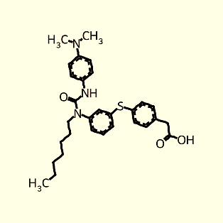 CCCCCCCN(C(=O)Nc1ccc(N(C)C)cc1)c1cccc(Sc2ccc(CC(=O)O)cc2)c1